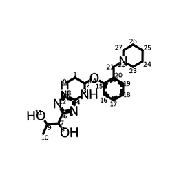 CCC(Nc1nc(C(O)C(C)O)n[nH]1)Oc1ccccc1CN1CCCCC1